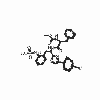 COC(=O)NC(Cc1ccccc1)C(=O)NC(Cc1ccccc1NS(=O)(=O)O)c1nc(-c2ccc(Cl)cc2)cs1